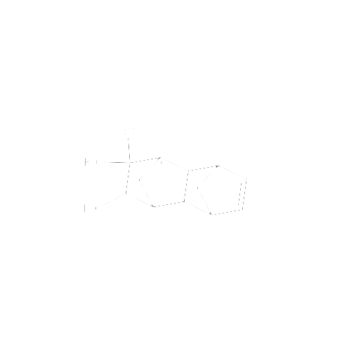 FC(F)(F)C1C2CC(C3C4C=CC(C4)C23)C1(C(F)(F)F)C(F)(F)F